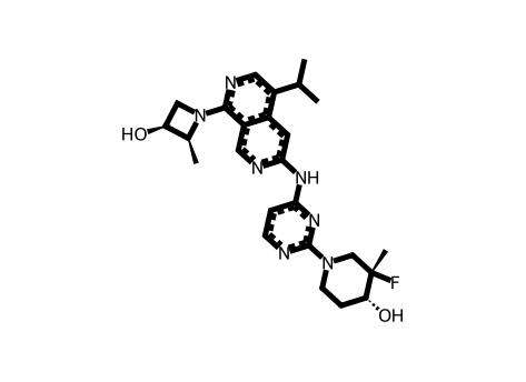 CC(C)c1cnc(N2C[C@H](O)[C@@H]2C)c2cnc(Nc3ccnc(N4CC[C@@H](O)[C@@](C)(F)C4)n3)cc12